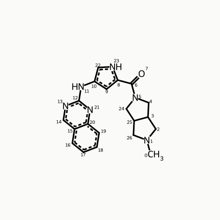 CN1CC2CN(C(=O)c3cc(Nc4ncc5ccccc5n4)c[nH]3)CC2C1